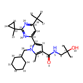 Cc1c(C(=O)NCC(C)(C)O)cc(-c2cc(C(C)(C)C)nc(C3(C)CC3)n2)n1CC1CCCCC1